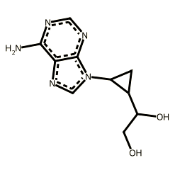 Nc1ncnc2c1ncn2C1CC1C(O)CO